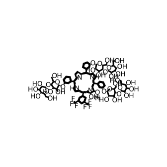 OCC1O[C@@H](O[C@@H]2C(CO)O[C@@H](Oc3cccc(-c4c5nc(c(-c6cccc(O[C@@H]7OC(CO)[C@@H](O[C@@H]8OC(CO)[C@H](O)C(O)C8O)C(O)C7O)c6)c6ccc([nH]6)c(-c6cc(C(F)(F)F)cc(C(F)(F)F)c6)c6nc(c(-c7cccc(O[C@@H]8OC(CO)[C@@H](O[C@@H]9OC(CO)[C@H](O)C(O)C9O)C(O)C8O)c7)c7ccc4[nH]7)C(O)C6O)C=C5)c3)C(O)C2O)C(O)C(O)[C@H]1O